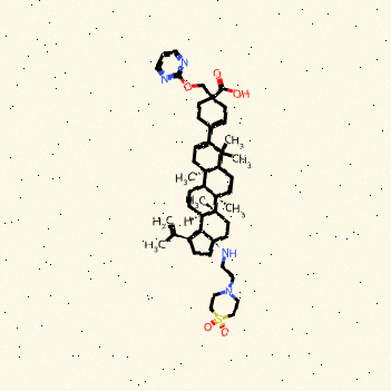 C=C(C)[C@@H]1CC[C@]2(NCCN3CCS(=O)(=O)CC3)CC[C@]3(C)[C@H](CCC4[C@@]5(C)CC=C(C6=CCC(COc7ncccn7)(C(=O)O)CC6)C(C)(C)C5CC[C@]43C)C12